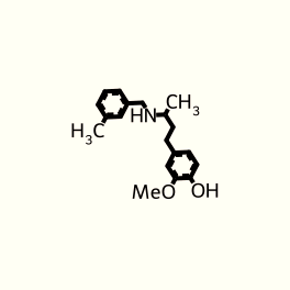 COc1cc(CCC(C)NCc2cccc(C)c2)ccc1O